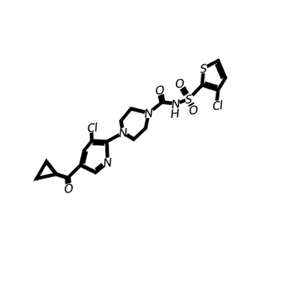 O=C(c1cnc(N2CCN(C(=O)NS(=O)(=O)c3sccc3Cl)CC2)c(Cl)c1)C1CC1